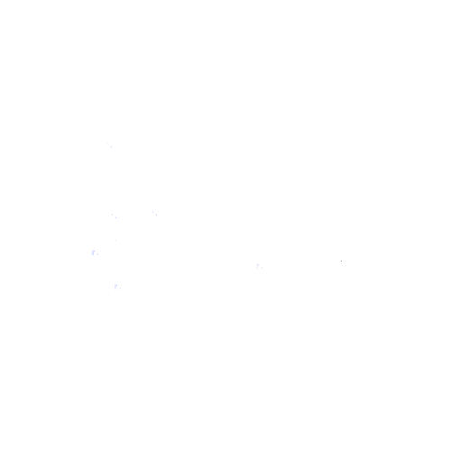 CN/C=C1\C(=N)N=C(c2cccnc2)N=C1Oc1cc(C(=O)Nc2cccc(C(F)(F)F)c2)ccc1C